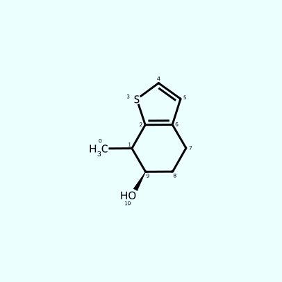 CC1c2sccc2CC[C@H]1O